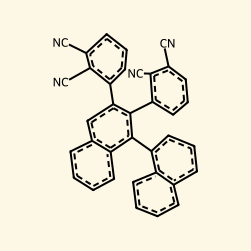 N#Cc1cccc(-c2cc3ccccc3c(-c3cccc4ccccc34)c2-c2cccc(C#N)c2C#N)c1C#N